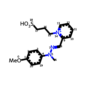 COc1ccc(N(C)N=Cc2cccc[n+]2CCCS(=O)(=O)O)cc1